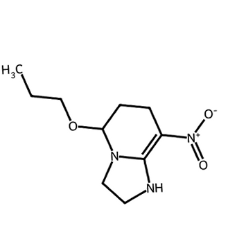 CCCOC1CCC([N+](=O)[O-])=C2NCCN21